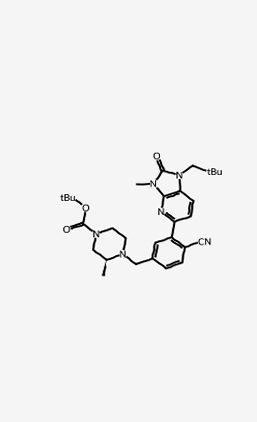 C[C@H]1CN(C(=O)OC(C)(C)C)CCN1Cc1ccc(C#N)c(-c2ccc3c(n2)n(C)c(=O)n3CC(C)(C)C)c1